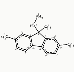 BBC1(C)c2cc(C)ccc2-c2ccc(C)cc21